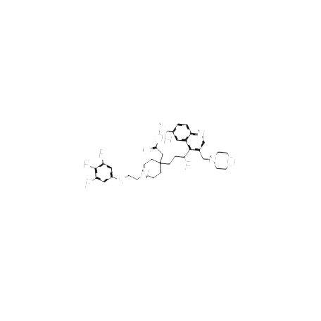 COc1ccc2ncc(CN3CCOCC3)c([C@@H](F)CCC3(CC(=O)O)CCN(CCSc4cc(F)c(F)c(F)c4)CC3)c2c1